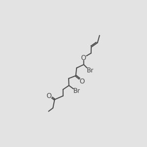 C/C=C/COC(Br)CC(=O)CC(Br)CCC(=O)CC